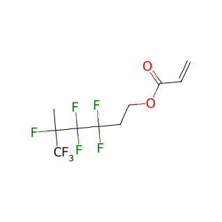 C=CC(=O)OCCC(F)(F)C(F)(F)C(C)(F)C(F)(F)F